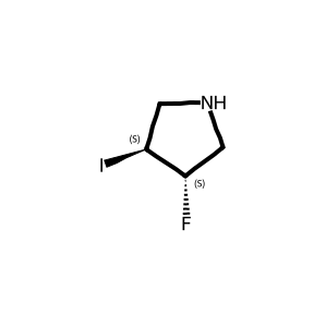 F[C@H]1CNC[C@@H]1I